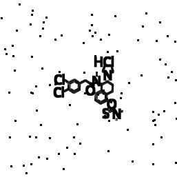 CN(C)C(=S)Oc1cccc2c1CC[C@@H](N1CCCC1)[C@@H]2N(C)C(=O)Cc1ccc(Cl)c(Cl)c1.Cl